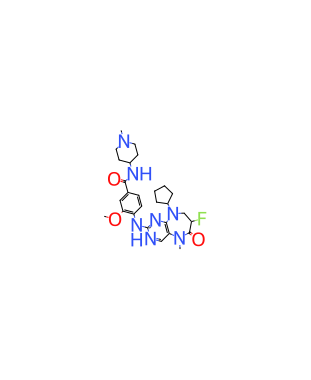 COc1cc(C(=O)NC2CCN(C)CC2)ccc1Nc1ncc2c(n1)N(C1CCCC1)CC(F)C(=O)N2C